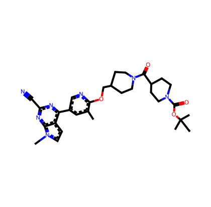 Cc1cc(-c2nc(C#N)nc3c2ccn3C)cnc1OCC1CCN(C(=O)C2CCN(C(=O)OC(C)(C)C)CC2)CC1